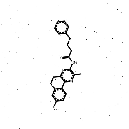 Cc1nc2c(nc1NC(=O)CCCc1ccccc1)CCc1cc(F)ccc1-2